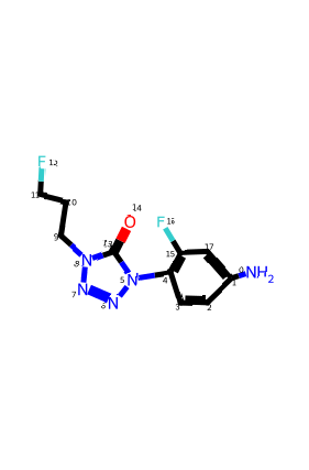 Nc1ccc(-n2nnn(CCCF)c2=O)c(F)c1